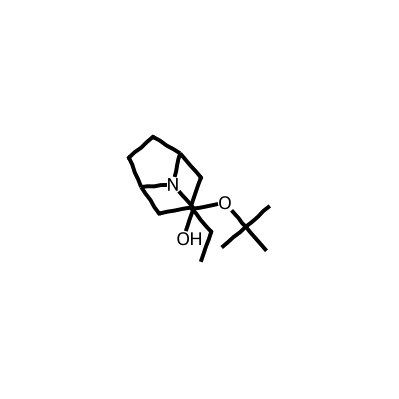 CCC1CC2CCC(C1)N2C(O)OC(C)(C)C